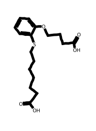 O=C(O)CCCCCCSc1ccccc1OCCCC(=O)O